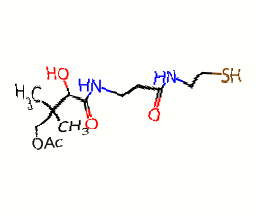 CC(=O)OCC(C)(C)C(O)C(=O)NCCC(=O)NCCS